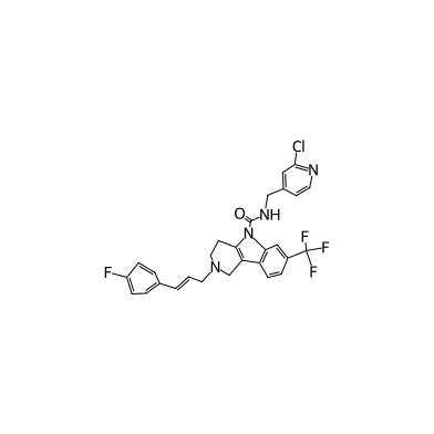 O=C(NCc1ccnc(Cl)c1)n1c2c(c3ccc(C(F)(F)F)cc31)CN(CC=Cc1ccc(F)cc1)CC2